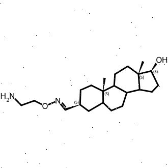 C[C@]12CC[C@H](C=NOCCN)CC1CCC1C2CC[C@@]2(C)C1CC[C@@H]2O